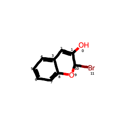 OC1=Cc2ccccc2OC1Br